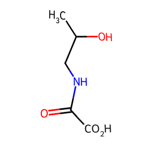 CC(O)CNC(=O)C(=O)O